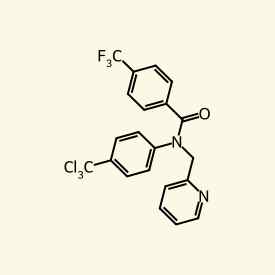 O=C(c1ccc(C(F)(F)F)cc1)N(Cc1ccccn1)c1ccc(C(Cl)(Cl)Cl)cc1